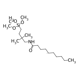 CCCCC[CH]CCCC(=O)NCC(C)(C)CC[Si](OC)(OC)OC